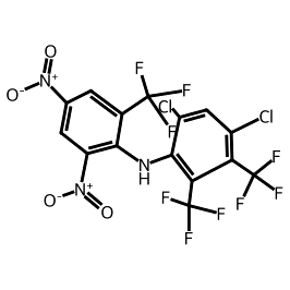 O=[N+]([O-])c1cc([N+](=O)[O-])c(Nc2c(Cl)cc(Cl)c(C(F)(F)F)c2C(F)(F)F)c(C(F)(F)F)c1